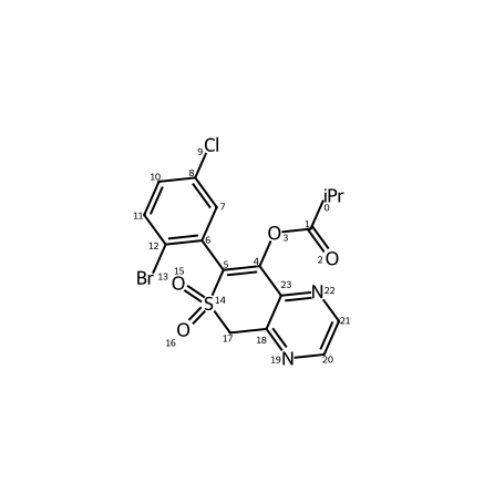 CC(C)C(=O)OC1=C(c2cc(Cl)ccc2Br)S(=O)(=O)Cc2nccnc21